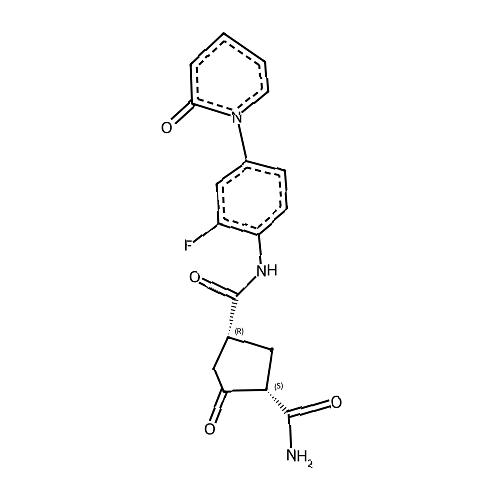 NC(=O)[C@H]1C[C@@H](C(=O)Nc2ccc(-n3ccccc3=O)cc2F)CC1=O